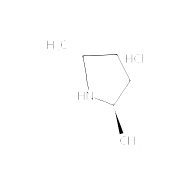 C[C@@H]1CC[C@@H](C)N1.Cl